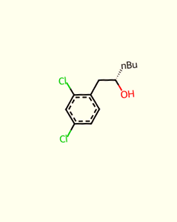 CCCC[C@H](O)Cc1ccc(Cl)cc1Cl